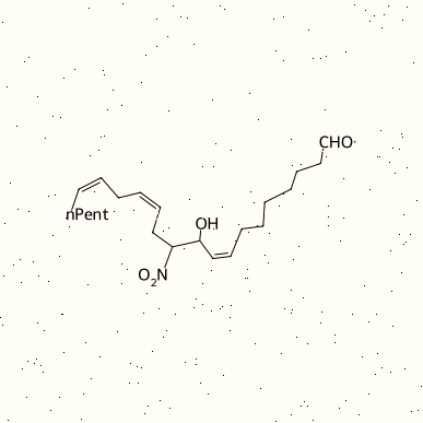 CCCCC/C=C\C/C=C\CC(C(O)/C=C\CCCCCC[C]=O)[N+](=O)[O-]